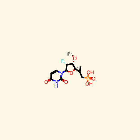 CC(C)O[C@H]1[C@@H](F)C(n2ccc(=O)[nH]c2=O)O[C@@]12CC2CP(=O)(O)O